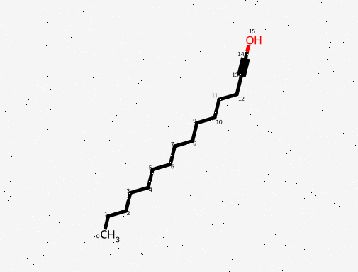 CCCCCCCCCCCCCC#CO